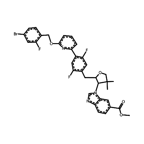 COC(=O)c1ccc2ncn(C3C(Cc4cc(F)c(-c5cccc(OCc6ccc(Br)cc6F)n5)cc4F)OCC3(C)C)c2c1